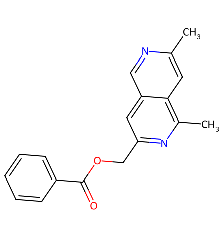 Cc1cc2c(C)nc(COC(=O)c3ccccc3)cc2cn1